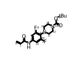 C=CC(=O)Nc1cc(F)c(N2CCN(C(=O)OC(C)(C)C)CC2)c(F)c1